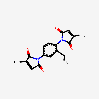 CCc1cc(N2C(=O)C=C(C)C2=O)ccc1N1C(=O)C=C(C)C1=O